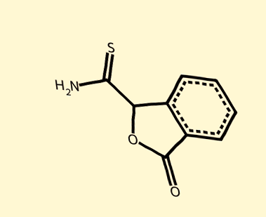 NC(=S)C1OC(=O)c2ccccc21